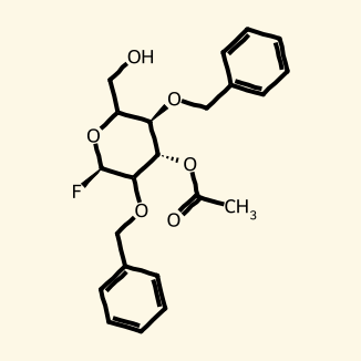 CC(=O)O[C@@H]1C(OCc2ccccc2)[C@@H](F)OC(CO)[C@H]1OCc1ccccc1